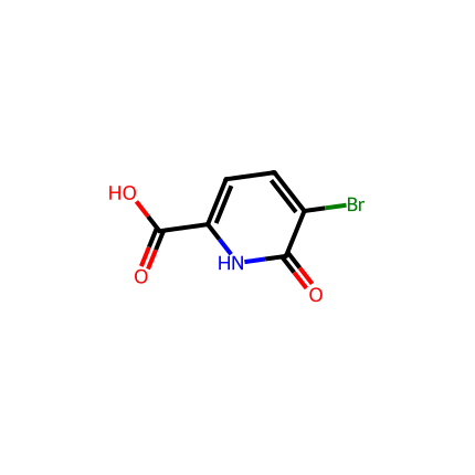 O=C(O)c1ccc(Br)c(=O)[nH]1